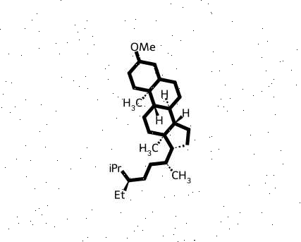 CC[C@H](CC[C@@H](C)[C@H]1CC[C@H]2[C@@H]3CCC4CC(OC)CC[C@]4(C)[C@H]3CC[C@]12C)C(C)C